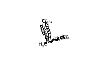 CCCCCCCCCCCCN(C)C.O.O.O.O.O.O.[Al+3].[Cl-].[Cl-].[Cl-]